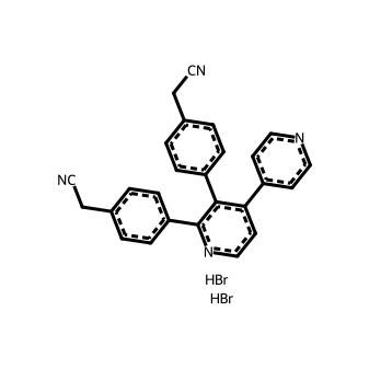 Br.Br.N#CCc1ccc(-c2nccc(-c3ccncc3)c2-c2ccc(CC#N)cc2)cc1